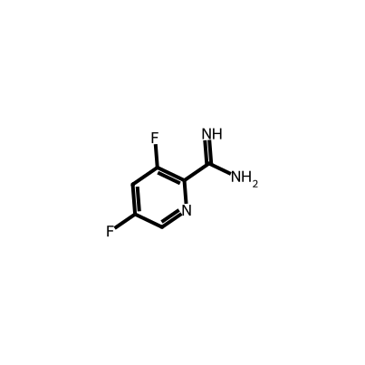 N=C(N)c1ncc(F)cc1F